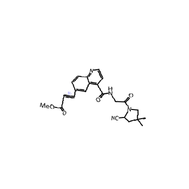 COC(=O)/C=C/c1ccc2nccc(C(=O)NCC(=O)N3CC(C)(C)CC3C#N)c2c1